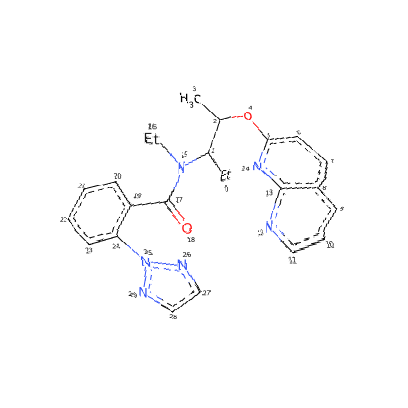 CCC(C(C)Oc1ccc2cccnc2n1)N(CC)C(=O)c1ccccc1-n1nccn1